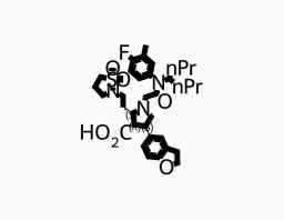 CCCC(CCC)N(C(=O)CN1C[C@H](c2ccc3c(c2)CCO3)[C@@H](C(=O)O)[C@@H]1CCN1CCCS1(=O)=O)c1ccc(F)c(C)c1